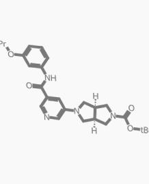 CC(C)Oc1cccc(NC(=O)c2cncc(N3C[C@H]4CN(C(=O)OC(C)(C)C)C[C@H]4C3)c2)c1